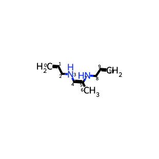 C=CCNC=C(C)NCC=C